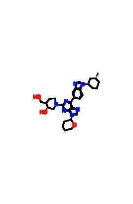 C[C@@H]1CCC[C@@H](n2cnc3cc(-c4nc(N5CC[C@H](CO)[C@@H](O)C5)nc5c4ncn5C4CCCCO4)ccc32)C1